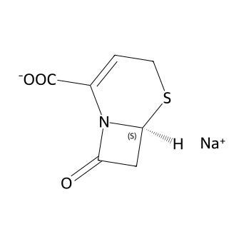 O=C([O-])C1=CCS[C@H]2CC(=O)N12.[Na+]